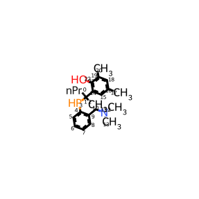 CCCC(C)(Pc1ccccc1CN(C)C)c1cc(C)cc(C)c1O